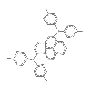 Cc1ccc(N(c2ccc(C)cc2)c2cc3ccc(N(c4ccc(C)cc4)c4ccc(C)cc4)c4ccc5cccc2c5c34)cc1